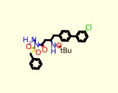 CC(C)(C)ONC(CC(=O)N(N)S(=O)(=O)Cc1ccccc1)Cc1ccc(-c2cccc(Cl)c2)cc1